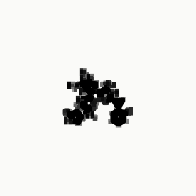 CC(C)(C)[C@H](NC(=O)[C@@H]1C[C@H]1c1ccccc1Cl)C(=O)N1C[C@H]2[C@@H]([C@H]1C(=O)N[C@@H](C[C@@H]1CCNC1=O)C(N)=O)C2(C)C